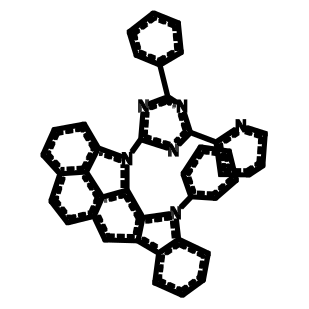 c1ccc(-c2nc(-c3ccccn3)nc(-n3c4cccc5ccc6cc7c8ccccc8n(-c8ccccc8)c7c3c6c54)n2)cc1